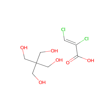 O=C(O)C(Cl)=CCl.OCC(CO)(CO)CO